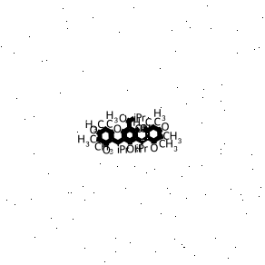 CC(C)C(=O)c1c(O)c([C@H](C(C)C)C2C(=O)C(C)(C)C(=O)C(C)(C)C2=O)c(O)c2c1OC1=C(C(=O)C(C)(C)C(=O)C1(C)C)[C@H]2C(C)C